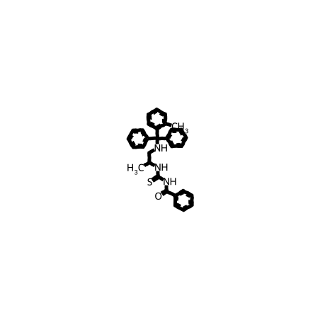 Cc1ccccc1C(NCC(C)NC(=S)NC(=O)c1ccccc1)(c1ccccc1)c1ccccc1